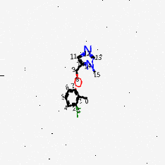 Cc1c(F)cccc1OCc1cncn1C